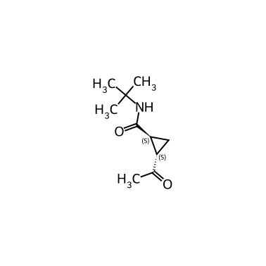 CC(=O)[C@H]1C[C@@H]1C(=O)NC(C)(C)C